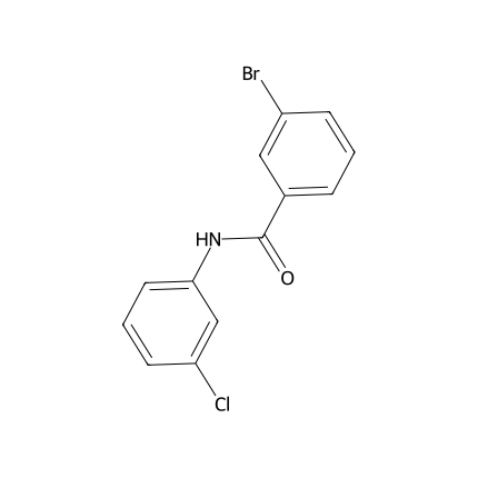 O=C(Nc1cccc(Cl)c1)c1cccc(Br)c1